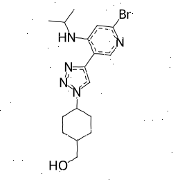 CC(C)Nc1cc(Br)ncc1-c1cn(C2CCC(CO)CC2)nn1